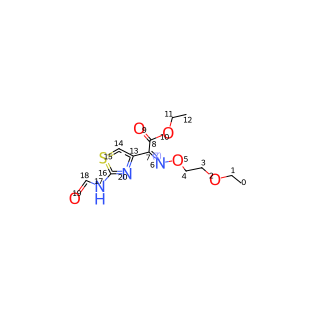 CCOCCO/N=C(\C(=O)OCC)c1csc(NC=O)n1